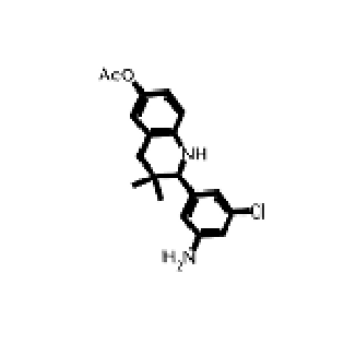 CC(=O)Oc1ccc2c(c1)CC(C)(C)C(c1cc(N)cc(Cl)c1)N2